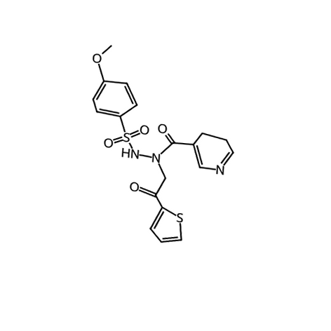 COc1ccc(S(=O)(=O)NN(CC(=O)c2cccs2)C(=O)C2=CN=CCC2)cc1